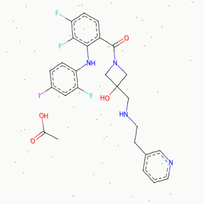 CC(=O)O.O=C(c1ccc(F)c(F)c1Nc1ccc(I)cc1F)N1CC(O)(CNCCc2cccnc2)C1